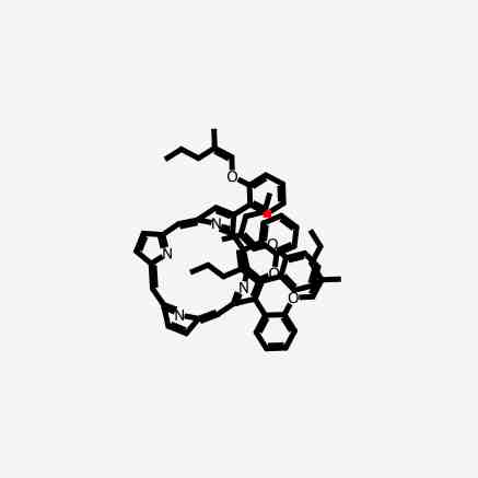 CCCC(C)=COc1ccccc1C1=CC2=CC3=NC(=CC4=NC(=CC5=NC(=C(c6ccccc6OC=C(C)CCC)C1=N2)C(c1ccccc1OC=C(C)CCC)=C5c1ccccc1OC=C(C)CCC)C=C4)C=C3